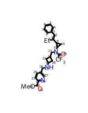 CC/C(=C\c1ccccc1)C1CC1N(CC1CC(NCc2ccc(C(=O)OC)nc2)C1)C(=O)C(F)(F)F